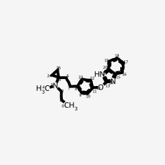 CCCN(C)C1(CCc2ccc(Oc3nc4ccccc4[nH]3)cc2)CC1